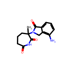 BC1(N2Cc3c(N)cccc3C2=O)CCCC(=O)NC1=O